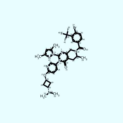 Cc1cc(C)n(-c2nc3c(c(=O)n2-c2ccc(O[C@H]4C[C@H](N(C)C)C4)nc2)CC(C)N(C(=O)c2ccc(Br)c(C(F)(F)F)c2)C3)n1